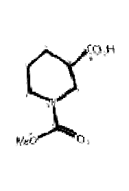 COC(=O)N1CCCC(C(=O)O)C1